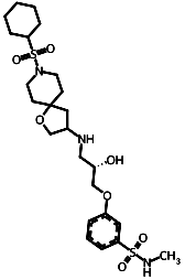 CNS(=O)(=O)c1cccc(OC[C@@H](O)CNC2COC3(CCN(S(=O)(=O)C4CCCCC4)CC3)C2)c1